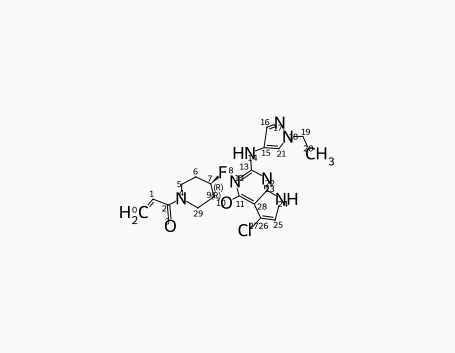 C=CC(=O)N1CC[C@@H](F)[C@H](Oc2nc(Nc3cnn(CC)c3)nc3[nH]cc(Cl)c23)C1